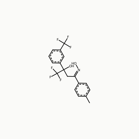 Cc1ccc(/C(CC(O)(c2cccc(C(F)(F)F)c2)C(F)(F)F)=N/O)cc1